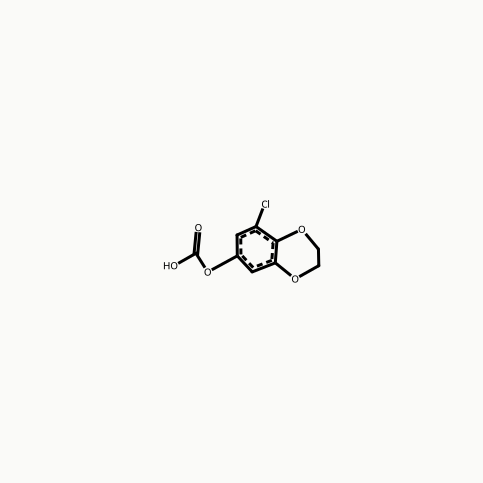 O=C(O)Oc1cc(Cl)c2c(c1)OCCO2